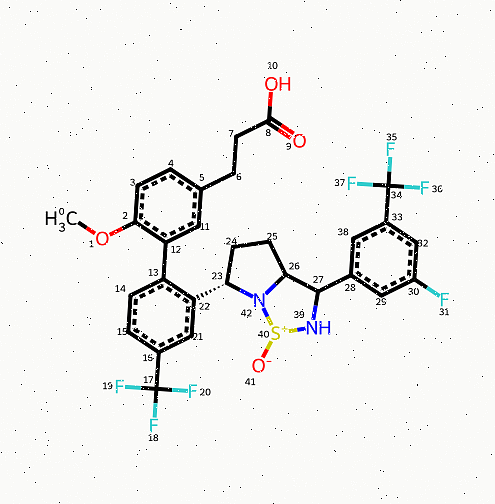 COc1ccc(CCC(=O)O)cc1-c1ccc(C(F)(F)F)cc1[C@@H]1CCC2C(c3cc(F)cc(C(F)(F)F)c3)N[S+]([O-])N21